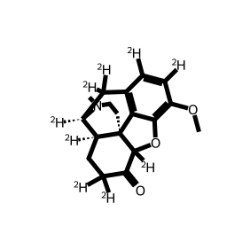 [2H]c1c([2H])c2c3c(c1OC)OC1([2H])C(=O)C([2H])([2H])C[C@]4([2H])[C@@]31CCN(C)[C@]4([2H])C2([2H])[2H]